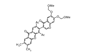 COCOc1cc2occ(-c3c(C(C)=O)cc4c(=O)c5cc(C)c(C)cc5oc4c3C(C)=O)c(=O)c2cc1OCOC